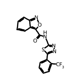 O=C(Nc1nnc(-c2ccccc2C(F)(F)F)s1)c1onc2ccccc12